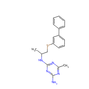 Cc1nc(N)nc(NC(C)CSc2cccc(-c3ccccc3)c2)n1